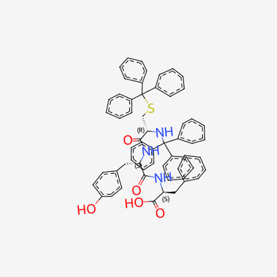 O=C(O)[C@H](Cc1ccccc1)NC(=O)[C@H](Cc1ccc(O)cc1)NC(=O)[C@H](CSC(c1ccccc1)(c1ccccc1)c1ccccc1)NC(c1ccccc1)(c1ccccc1)c1ccccc1